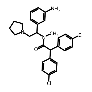 CN(C(=O)C(c1ccc(Cl)cc1)c1ccc(Cl)cc1)C(CN1CCCC1)c1cccc(N)c1